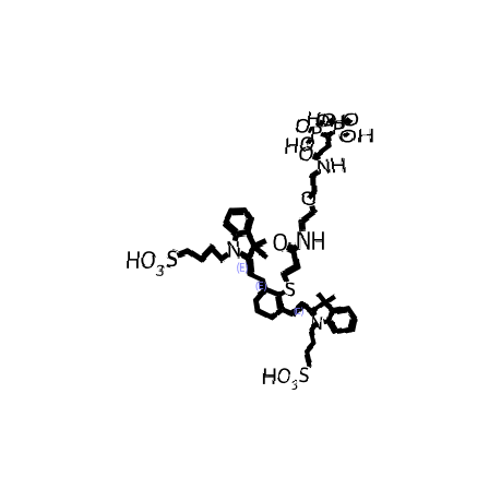 CC1(C)C(/C=C/C2=C(SCCC(=O)NCCOCCNC(=O)CC(P(=O)(O)O)P(=O)(O)O)C(=C/C=C3/N(CCCCS(=O)(=O)O)c4ccccc4C3(C)C)/CCC2)=[N+](CCCCS(=O)(=O)O)c2ccccc21